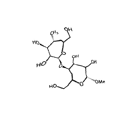 CO[C@@H]1OC(CO)[C@@H](O[C@@H]2OC(CO)[C@@H](C)[C@H](O)C2O)C(O)C1O